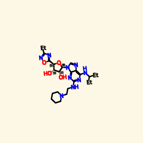 CCc1noc([C@H]2O[C@@H](n3cnc4c(NC(CC)CC)nc(NCCN5CCCCC5)nc43)[C@H](O)[C@@H]2O)n1